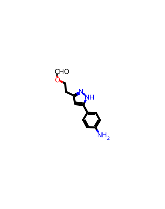 Nc1ccc(-c2cc(CCOC=O)n[nH]2)cc1